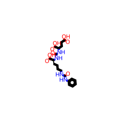 O=C(O)CCC(NC(=O)N[C@@H](CCCCNC(=O)Nc1ccccc1)C(=O)O)C(=O)O